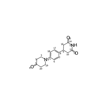 O=C1CCN(c2ccc(C3CC(=O)NC(=O)C3)cc2)CC1